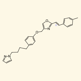 Cc1ccc(/C=C/c2nc(COc3ccc(CCCCn4cccn4)cc3)co2)cc1